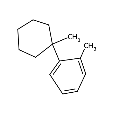 Cc1ccccc1C1(C)CCCCC1